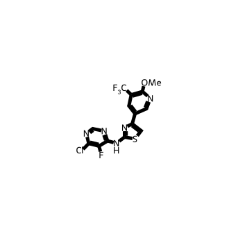 COc1ncc(-c2csc(Nc3ncnc(Cl)c3F)n2)cc1C(F)(F)F